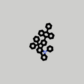 c1ccc(-c2c3ccccc3c(-c3ccc4c(c3)C(c3ccccc3)(c3ccccc3)c3ccc5c6ccccc6n(-c6ccccc6)c5c3-4)c3ccccc23)cc1